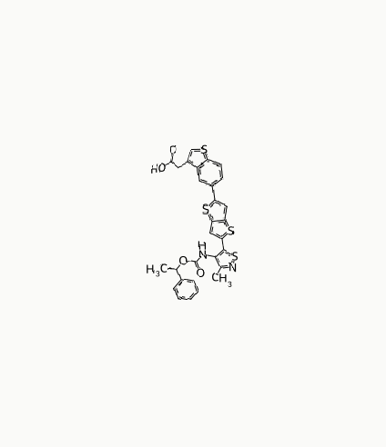 Cc1nsc(-c2cc3sc(-c4ccc5scc(CC(=O)O)c5c4)cc3s2)c1NC(=O)O[C@H](C)c1ccccc1